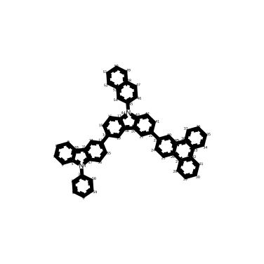 c1ccc(-n2c3ccccc3c3cc(-c4ccc5c(c4)c4cc(-c6ccc7c8ccccc8c8ccccc8c7c6)ccc4n5-c4ccc5ccccc5c4)ccc32)cc1